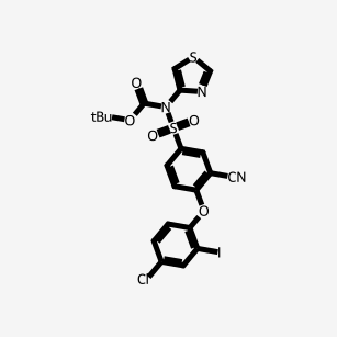 CC(C)(C)OC(=O)N(c1cscn1)S(=O)(=O)c1ccc(Oc2ccc(Cl)cc2I)c(C#N)c1